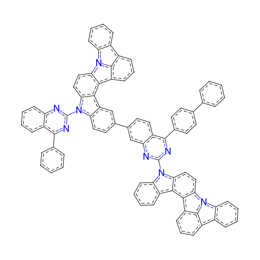 c1ccc(-c2ccc(-c3nc(-n4c5ccccc5c5c6c7cccc8c9ccccc9n(c6ccc54)c87)nc4cc(-c5ccc6c(c5)c5c7c8cccc9c%10ccccc%10n(c7ccc5n6-c5nc(-c6ccccc6)c6ccccc6n5)c98)ccc34)cc2)cc1